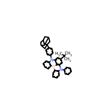 CC(C)(C)c1cc2c3c(c1)N(c1ccc(C45CC6CC(CC(C6)C4)C5)cc1)c1ccccc1B3c1ccccc1N2c1ccccc1